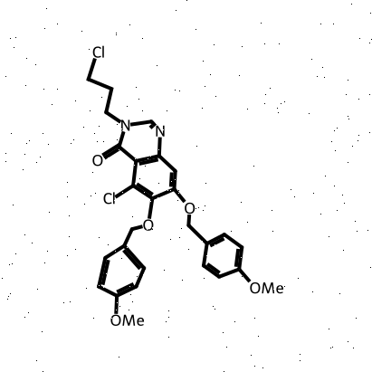 COc1ccc(COc2cc3ncn(CCCCl)c(=O)c3c(Cl)c2OCc2ccc(OC)cc2)cc1